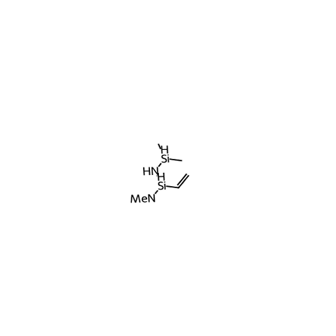 C=C[SiH](NC)N[SiH](C)C